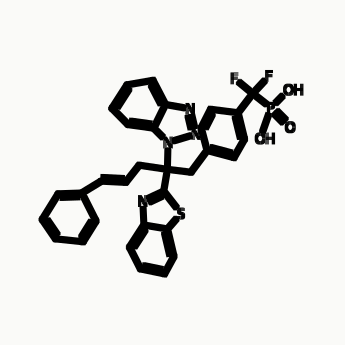 O=P(O)(O)C(F)(F)c1ccc(CC(C/C=C/c2ccccc2)(c2nc3ccccc3s2)n2nnc3ccccc32)cc1